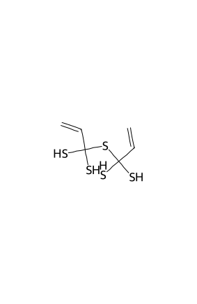 C=CC(S)(S)SC(S)(S)C=C